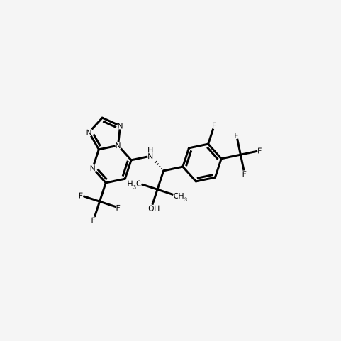 CC(C)(O)[C@H](Nc1cc(C(F)(F)F)nc2ncnn12)c1ccc(C(F)(F)F)c(F)c1